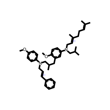 COc1ccc(N(C/C=C/c2ccccc2)CC(C)Cc2cc(N(C/C=C(\C)CCC=C(C)C)CC(C)C)ccc2OC)cc1